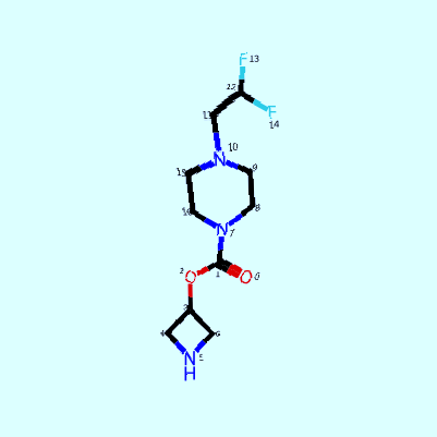 O=C(OC1CNC1)N1CCN(CC(F)F)CC1